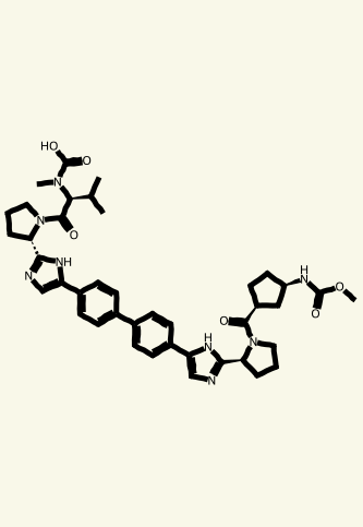 COC(=O)N[C@@H]1CC[C@H](C(=O)N2CCC[C@H]2c2ncc(-c3ccc(-c4ccc(-c5cnc([C@@H]6CCCN6C(=O)[C@H](C(C)C)N(C)C(=O)O)[nH]5)cc4)cc3)[nH]2)C1